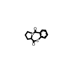 O=C1Sc2ccccc2C(=O)N2CCCC12